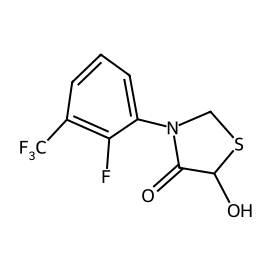 O=C1C(O)SCN1c1cccc(C(F)(F)F)c1F